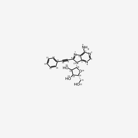 Nc1ncnc2c1nc(C#Cc1ccccc1)n2[C@@H]1O[C@H](CO)C(O)C1O